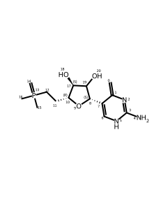 C=C1N=C(N)NC=C1[C@@H]1O[C@H](CCP(=C)(C)C)[C@@H](O)C1O